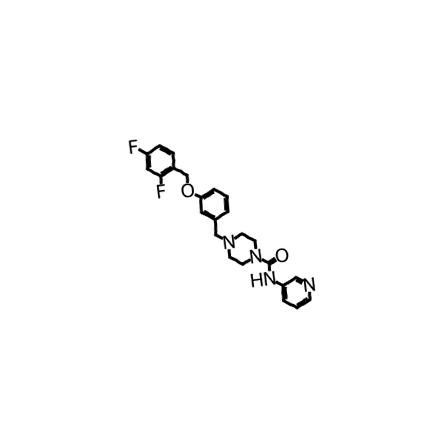 O=C(Nc1cccnc1)N1CCN(Cc2cccc(OCc3ccc(F)cc3F)c2)CC1